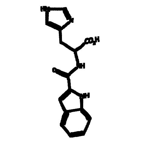 O=C(NC(Cc1c[nH]cn1)C(=O)O)c1cc2ccccc2[nH]1